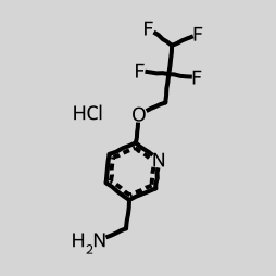 Cl.NCc1ccc(OCC(F)(F)C(F)F)nc1